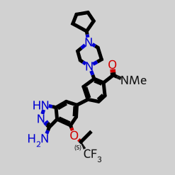 CNC(=O)c1ccc(-c2cc(O[C@@H](C)C(F)(F)F)c3c(N)n[nH]c3c2)cc1N1CCN(C2CCCC2)CC1